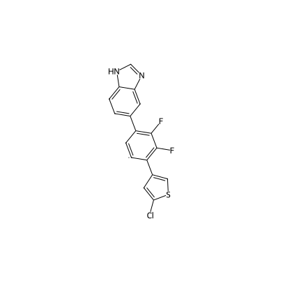 Fc1c(-c2csc(Cl)c2)[c]cc(-c2ccc3[nH]cnc3c2)c1F